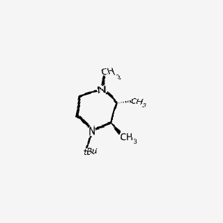 C[C@@H]1[C@@H](C)N(C(C)(C)C)CCN1C